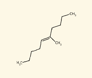 CCCC/C=C(\C)CCCC